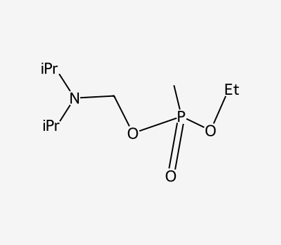 CCOP(C)(=O)OCN(C(C)C)C(C)C